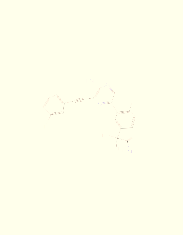 Cc1ccc(C(O)(C(N)=O)C(F)(F)F)cc1-c1cnc(N)c(C#Cc2cccc(F)c2)n1